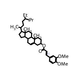 CCC(CCC(C)C1CCC2C3CC=C4CC(OC(=O)/C=C/c5ccc(OC)c(OC)c5)CCC4(C)C3CCC12C)C(C)C